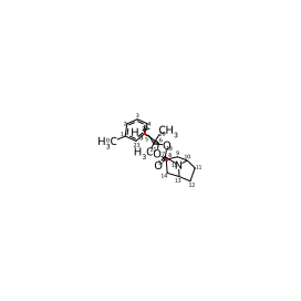 Cc1cccc(COC2CC3CCC(C2)N3C(=O)OC(C)(C)C)c1